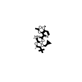 COc1ccnc(C(=O)N[C@@H](C)C(=O)O[C@@H](C)[C@H](OCC2CC2)C(C)(C)C)c1OC(C)=O